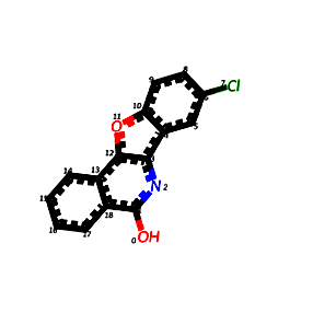 Oc1nc2c3cc(Cl)ccc3oc2c2ccccc12